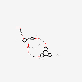 COc1ccc2c(c1)Cc1cc3c(OC)cc1Cc1cc(c(OC)cc1C2)OCCCCCOc1cc2c(cc1OC)Cc1cc(c(OC)cc1Cc1cc(OCCCCCO)c(OC)cc1C2)OCCCCCO3